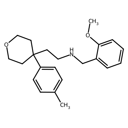 COc1ccccc1CNCCC1(c2ccc(C)cc2)CCOCC1